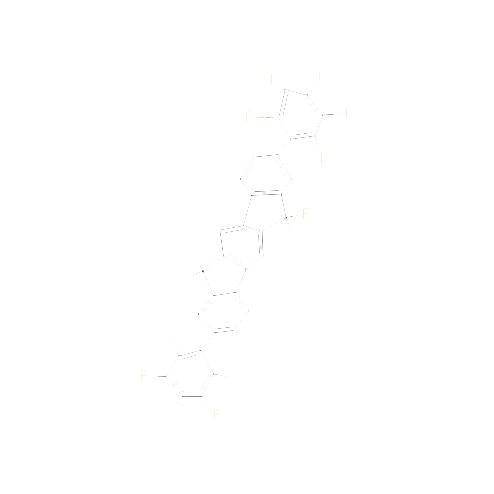 Fc1c(F)c(F)c(-c2ccc3c(c2)C(F)(F)c2cc4c(cc2-3)C(F)(F)c2cc(-c3c(F)c(F)c(F)c(F)c3F)ccc2-4)c(F)c1F